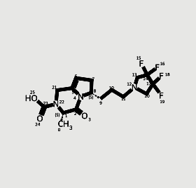 C[C@H]1C(=O)N2C(=CC[C@@H]2CCCN2CC(F)(F)C(F)(F)C2)CN1C(=O)O